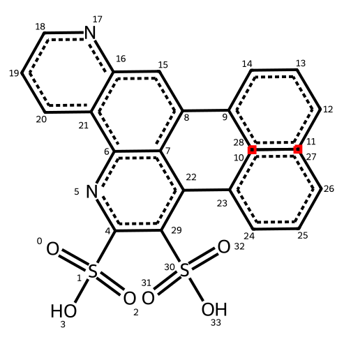 O=S(=O)(O)c1nc2c(c(-c3ccccc3)cc3ncccc32)c(-c2ccccc2)c1S(=O)(=O)O